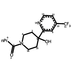 CCCC(=O)N1CCC(O)(c2cc(C(F)(F)F)ccn2)CC1